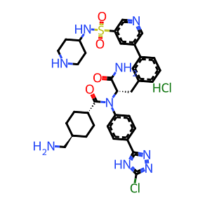 Cl.NC[C@H]1CC[C@H](C(=O)N(c2ccc(-c3nnc(Cl)[nH]3)cc2)[C@@H](Cc2cccc(-c3cncc(S(=O)(=O)NC4CCNCC4)c3)c2)C(N)=O)CC1